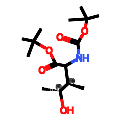 C[C@H](C(NC(=O)OC(C)(C)C)C(=O)OC(C)(C)C)[C@@H](C)O